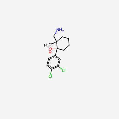 C[C@@]1(CN)CCCC[C@@]1(O)c1ccc(Cl)c(Cl)c1